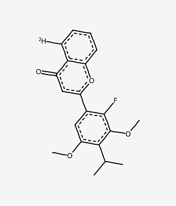 [2H]c1cccc2oc(-c3cc(OC)c(C(C)C)c(OC)c3F)cc(=O)c12